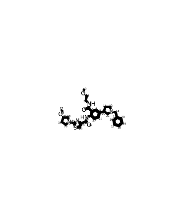 COCCNC(=O)c1cc(C2CCN(Cc3ccccc3)C2)ccc1NC(=O)c1csc(N2CC[C@H](OC)C2)n1